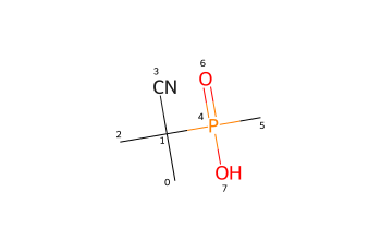 CC(C)(C#N)P(C)(=O)O